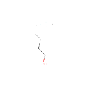 CCCCO.[B+3].[F-].[F-].[F-]